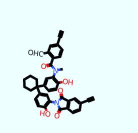 C#Cc1ccc(C(=O)N(C)c2cc(C3(c4ccc(O)c(N5C(=O)c6ccc(C#C)cc6C5=O)c4)CCCCC3)ccc2O)c(C=O)c1